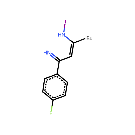 CCC(C)/C(=C/C(=N)c1ccc(F)cc1)NI